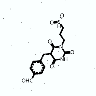 O=Cc1ccc(CC2C(=O)NC(=O)N(CCC[SH](=O)=O)C2=O)cc1